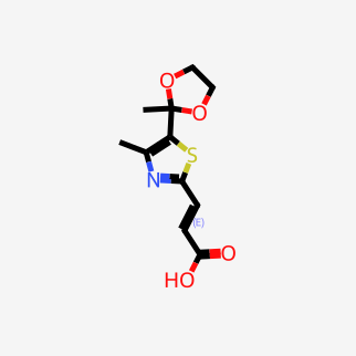 Cc1nc(/C=C/C(=O)O)sc1C1(C)OCCO1